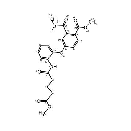 COC(=O)CCCC(=O)Nc1ccccc1Oc1ccc(C(=O)OC)c(C(=O)OC)c1